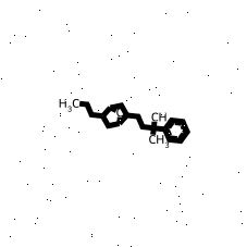 CCCC1CC2OC1CC2CCC(C)(C)c1ccccc1